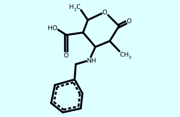 CC1OC(=O)C(C)C(NCc2ccccc2)C1C(=O)O